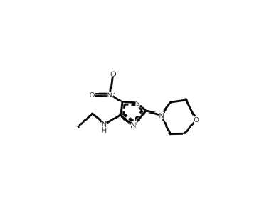 CCNc1nc(N2CCOCC2)sc1[N+](=O)[O-]